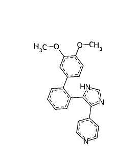 COc1ccc(-c2ccccc2-c2[nH]cnc2-c2ccncc2)cc1OC